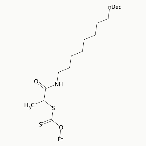 CCCCCCCCCCCCCCCCCCNC(=O)C(C)SC(=S)OCC